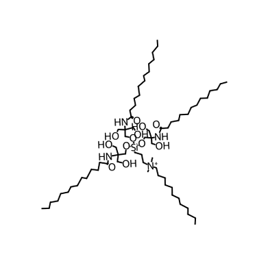 CCCCCCCCCCCCCC(=O)NC(CO)(CO)CO[Si](CCC[N+](C)(C)CCCCCCCCCCCC)(OCC(CO)(CO)NC(=O)CCCCCCCCCCCCC)OCC(CO)(CO)NC(=O)CCCCCCCCCCCCC